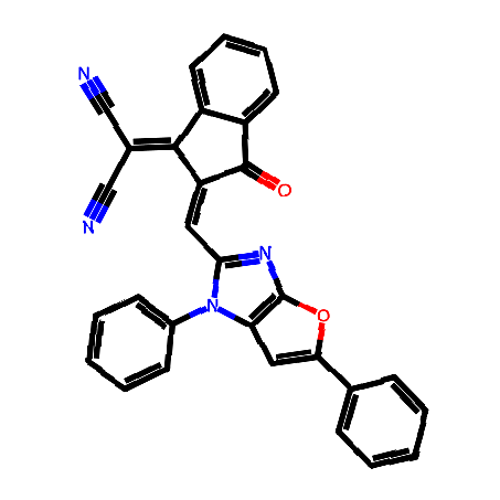 N#CC(C#N)=C1/C(=C/c2nc3oc(-c4ccccc4)cc3n2-c2ccccc2)C(=O)c2ccccc21